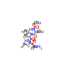 CC(C)(C)OC(=O)NC(C(=O)N1C[C@H]2C([C@H]1C(=O)NC(CC1CC1)C(=O)C(N)=O)C2(C)C)C(C)(C)C